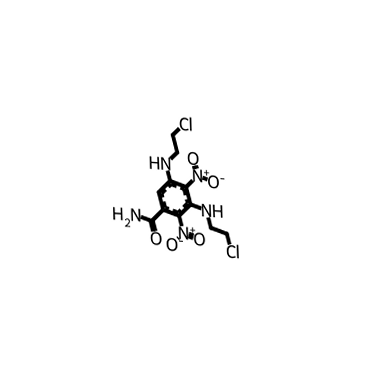 NC(=O)c1cc(NCCCl)c([N+](=O)[O-])c(NCCCl)c1[N+](=O)[O-]